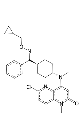 Cn1c(=O)cc(N(C)[C@H]2CC[C@H](/C(=N/OCC3CC3)c3ccccc3)CC2)c2nc(Cl)ccc21